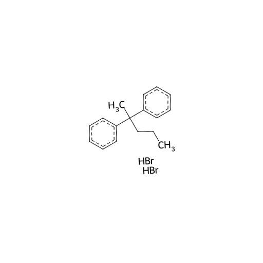 Br.Br.CCCC(C)(c1ccccc1)c1ccccc1